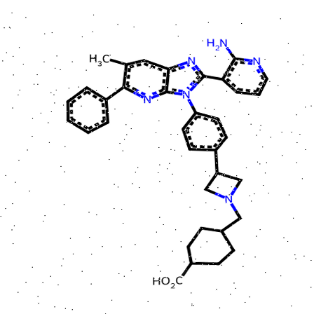 Cc1cc2nc(-c3cccnc3N)n(-c3ccc(C4CN(CC5CCC(C(=O)O)CC5)C4)cc3)c2nc1-c1ccccc1